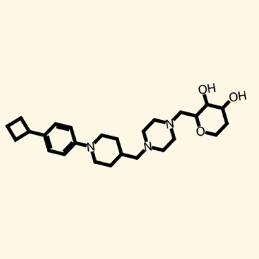 OC1CCOC(CN2CCN(CC3CCN(c4ccc(C5CCC5)cc4)CC3)CC2)C1O